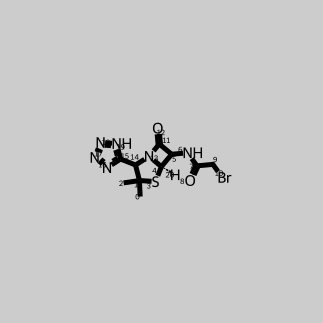 CC1(C)S[C@@H]2C(NC(=O)CBr)C(=O)N2C1c1nnn[nH]1